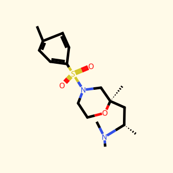 Cc1ccc(S(=O)(=O)N2CCO[C@](C)(C[C@H](C)N(C)C)C2)cc1